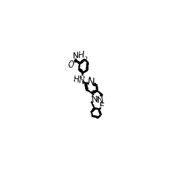 NC(=O)c1cccc(Nc2cc3c(cn2)cnn3Cc2ccccc2F)c1